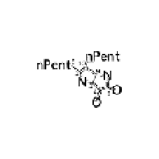 CCCCCc1nc2c(=O)c(=O)nc-2c1CCCCC